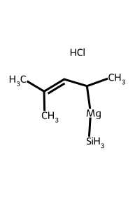 CC(C)=C[CH](C)[Mg][SiH3].Cl